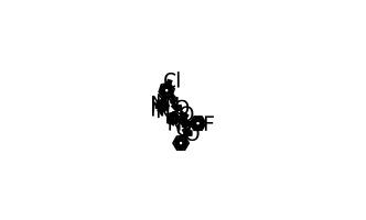 O=C(OC(C(=O)N1N=CC[C@H]1C(=O)NCc1cc(Cl)ccc1-n1cnnn1)c1ccc(F)cc1)c1ccccc1